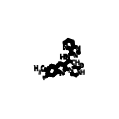 Cc1cc2cc(C(C)Nc3ncnc4cccnc34)c(N3CCNC(=O)C3)nc2cc1F